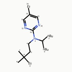 CCCCC(CCCC)N(CCC(C)(C)CC)c1ncc(CC)cn1